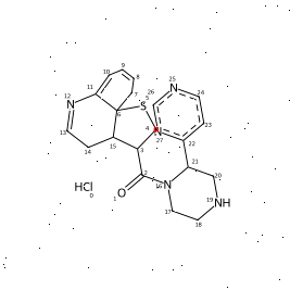 Cl.O=C(C1CSC23CC=CC=C2N=CCC13)N1CCNCC1c1ccncn1